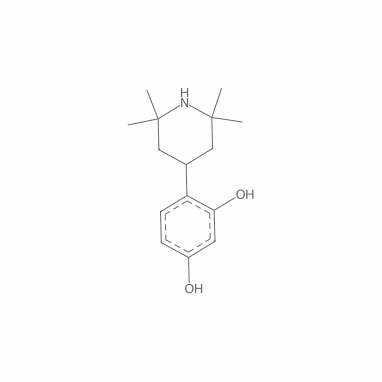 CC1(C)CC(c2ccc(O)cc2O)CC(C)(C)N1